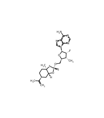 C=C(C)[C@H]1CC[C@@]2(C)S[P@](=S)(OC[C@H]3O[C@@H](n4cnc5c(N)ncnc54)[C@H](F)[C@@H]3C)O[C@@H]2C1